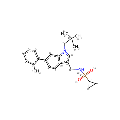 Cc1ccccc1-c1ccc2c(CNS(=O)(=O)C3CC3)cn(CC(C)(C)C)c2c1